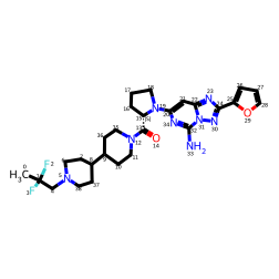 CC(F)(F)CN1CCC(C2CCN(C(=O)[C@@H]3CCCN3c3cc4nc(-c5ccco5)nn4c(N)n3)CC2)CC1